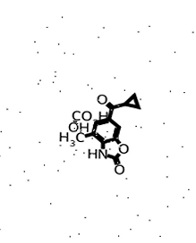 Cc1cc(C(=O)C2CC2)cc2oc(=O)[nH]c12.O=C(O)O